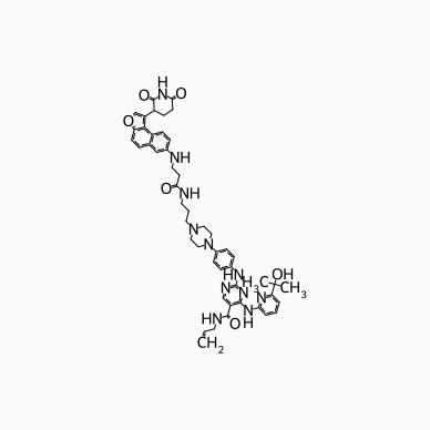 C=CCNC(=O)c1cnc(Nc2ccc(N3CCN(CCCNC(=O)CCNc4ccc5c(ccc6occ(C7CCC(=O)NC7=O)c65)c4)CC3)cc2)nc1Nc1cccc(C(C)(C)O)n1